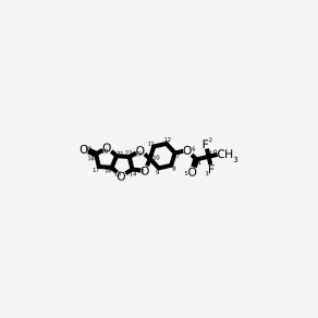 CC(F)(F)C(=O)OC1CCC2(CC1)OC1OC3CC(=O)OC3C1O2